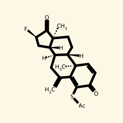 C=C1C[C@@H]2[C@H](CC[C@]3(C)C(=O)[C@H](F)C[C@@H]23)[C@@]2(C)C=CC(=O)C(SC(C)=O)=C12